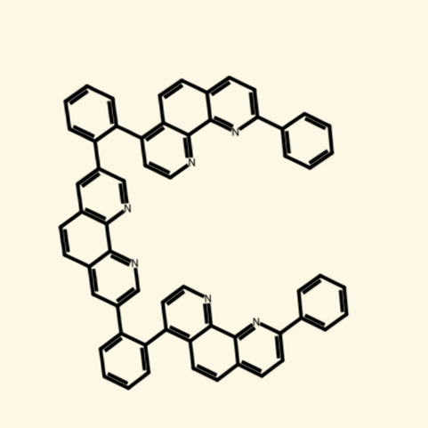 c1ccc(-c2ccc3ccc4c(-c5ccccc5-c5cnc6c(ccc7cc(-c8ccccc8-c8ccnc9c8ccc8ccc(-c%10ccccc%10)nc89)cnc76)c5)ccnc4c3n2)cc1